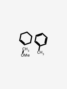 C1=CCCCC1.COC.Cc1ccccc1